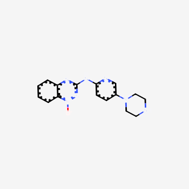 [O-][n+]1nc(Nc2ccc(N3CCNCC3)cn2)nc2ccccc21